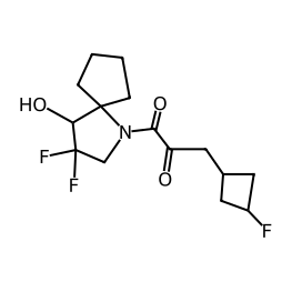 O=C(CC1CC(F)C1)C(=O)N1CC(F)(F)C(O)C12CCCC2